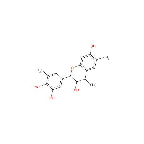 Cc1cc2c(cc1O)OC(c1cc(C)c(O)c(O)c1)C(O)C2C